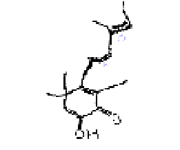 C/C=C(C)/C=C/C1=C(C)C(=O)C(O)=CC1(C)C